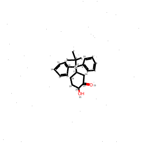 CC(C)(C)[Si](c1ccccc1)(c1ccccc1)C1CCC(O)C(=O)C1